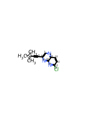 C[Si](C)(C)C#Cc1cnc2ccc(Cl)nc2n1